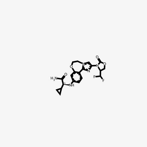 NC(=O)[C@@H](Nc1ccc2c(c1)OCCn1cc(N3C(=O)OCC3C(F)F)nc1-2)C1CC1